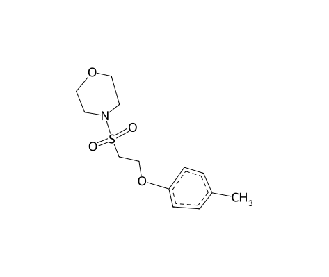 Cc1ccc(OCCS(=O)(=O)N2CCOCC2)cc1